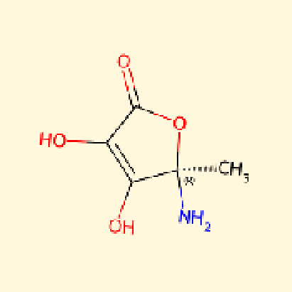 C[C@@]1(N)OC(=O)C(O)=C1O